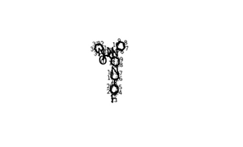 O=C(c1nn(-c2ccccc2)c2c1CC(N1CCC(c3ccc(F)cc3)CC1)CC2)N1CCCCC1